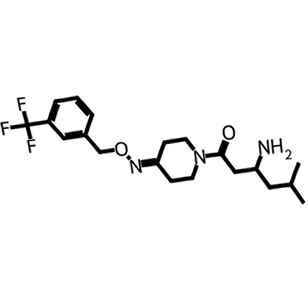 CC(C)CC(N)CC(=O)N1CCC(=NOCc2cccc(C(F)(F)F)c2)CC1